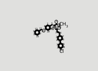 COC(=O)[C@H](Cc1ccc(OCc2ccccc2)cc1)NC(=O)C=Cc1ccc(-c2ccc(Cl)cc2)cc1